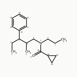 CCCN(CC(C)C(CC)c1ccccc1)C(=O)C1CC1